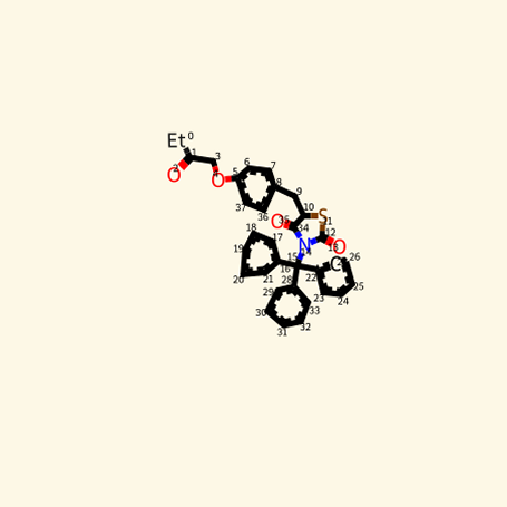 CCC(=O)COc1ccc(CC2SC(=O)N(C(c3ccccc3)(c3ccccc3)c3ccccc3)C2=O)cc1